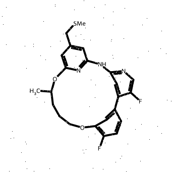 CSCc1cc2nc(c1)OC(C)CCCOc1cc(ccc1F)-c1cc(ncc1F)N2